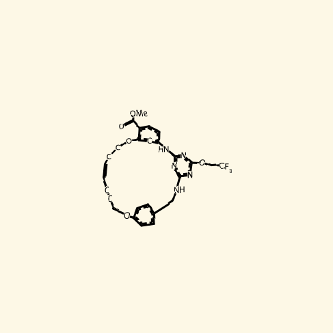 COC(=O)c1ccc2cc1OCCC=CCCCOc1ccc(cc1)CNc1nc(nc(OCC(F)(F)F)n1)N2